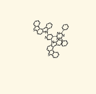 c1ccc(-c2nc(-c3ccccc3)nc(-c3cc(-n4c5ccccc5c5c6c(ccc54)sc4ccccc46)ncc3-n3c4ccccc4c4c5c(ccc43)sc3ccccc35)n2)cc1